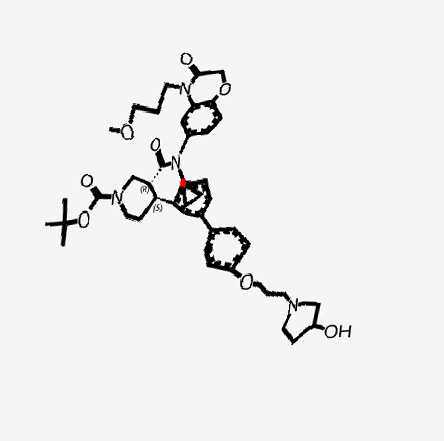 COCCCN1C(=O)COc2ccc(N(C(=O)[C@H]3CN(C(=O)OC(C)(C)C)CC[C@@H]3c3cccc(-c4ccc(OCCCN5CCC(O)C5)cc4)c3)C3CC3)cc21